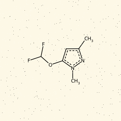 Cc1[c]c(OC(F)F)n(C)n1